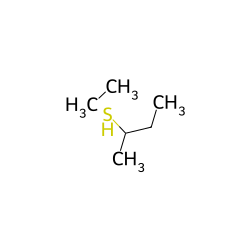 CC.CCC(C)S